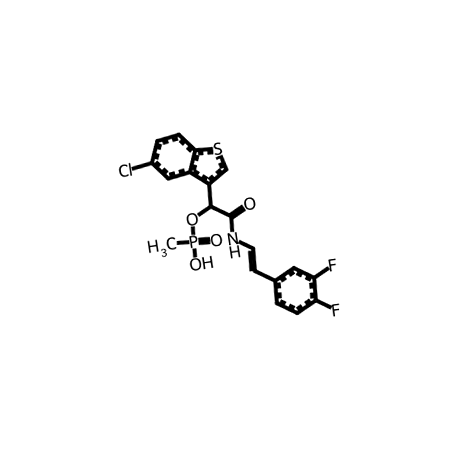 CP(=O)(O)OC(C(=O)NC=Cc1ccc(F)c(F)c1)c1csc2ccc(Cl)cc12